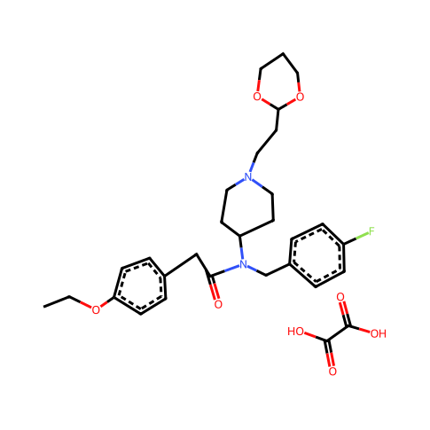 CCOc1ccc(CC(=O)N(Cc2ccc(F)cc2)C2CCN(CCC3OCCCO3)CC2)cc1.O=C(O)C(=O)O